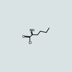 CCCCC(=N)C(=O)Cl